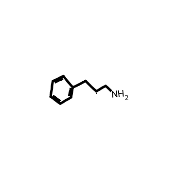 NC[CH]Cc1ccccc1